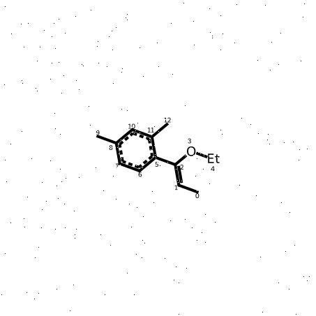 CC=C(OCC)c1ccc(C)cc1C